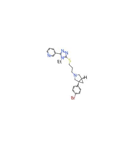 CCn1c(SCCCN2C[C@@H]3C[C@]3(c3ccc(Br)cc3)C2)nnc1-c1cccnc1